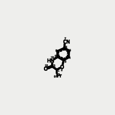 CC(C)C1Oc2ccc(C#N)cc2NC1=O